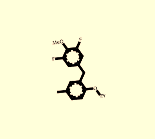 COc1c(F)cc(Cc2cc(C)ccc2OC(C)C)cc1F